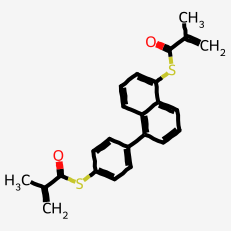 C=C(C)C(=O)Sc1ccc(-c2cccc3c(SC(=O)C(=C)C)cccc23)cc1